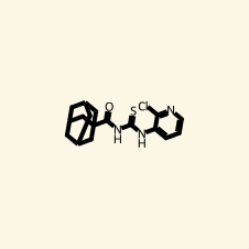 O=C(NC(=S)Nc1cccnc1Cl)C12CC3CC(CC(C3)C1)C2